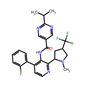 CC(C)c1ncc(C(=O)Nc2c(-c3ccccc3F)ccnc2C2CC(C(F)(F)F)CN2C)cn1